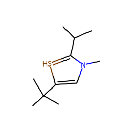 CC(C)C1=[SH]C(C(C)(C)C)=CN1C